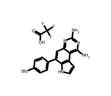 CC(C)(C)c1ccc(-c2cc3nc(N)nc(N)c3c3cc[nH]c23)cc1.O=C(O)C(F)(F)F